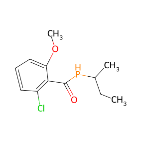 CCC(C)PC(=O)c1c(Cl)cccc1OC